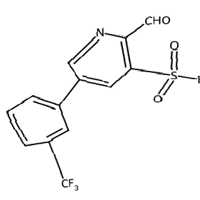 CCS(=O)(=O)c1cc(-c2cccc(C(F)(F)F)c2)cnc1C=O